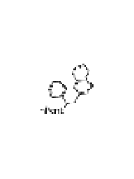 CCCCCC(Cc1ccc2ccccc2c1)c1ccccc1